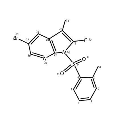 Cc1ccccc1S(=O)(=O)n1c(F)c(C)c2cc(Br)cnc21